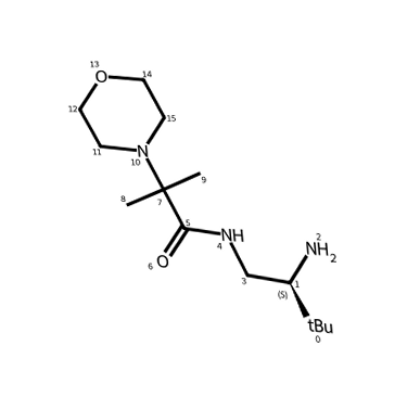 CC(C)(C)[C@H](N)CNC(=O)C(C)(C)N1CCOCC1